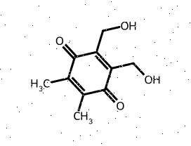 CC1=C(C)C(=O)C(CO)=C(CO)C1=O